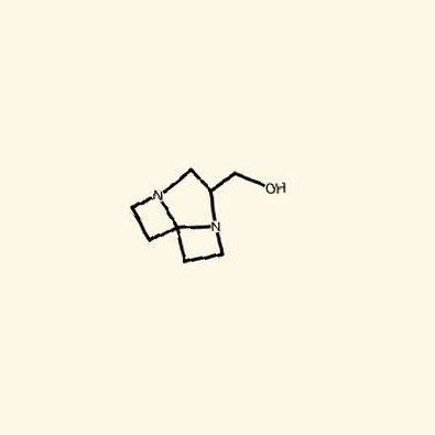 OCC1CN2CCC23CCN13